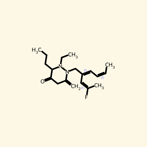 C=C1CC(=O)C(CCC)N(CC)N1CC(/C=C(\C)F)=C/C=C\C